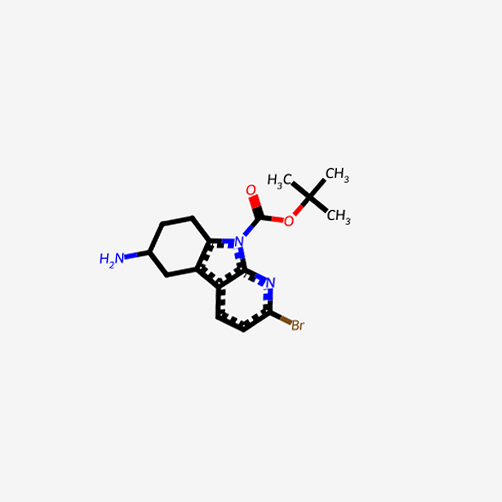 CC(C)(C)OC(=O)n1c2c(c3ccc(Br)nc31)CC(N)CC2